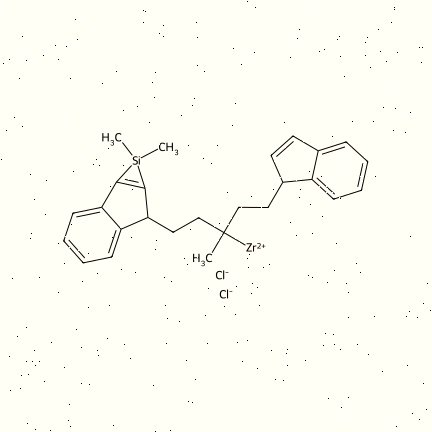 C[C]([Zr+2])(CCC1C=Cc2ccccc21)CCC1C2=C(c3ccccc31)[Si]2(C)C.[Cl-].[Cl-]